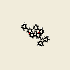 c1ccc(-c2cccc(-c3cccc(-c4ccccc4)c3-n3c4ccccc4c4cc(-n5c6ccccc6c6ccccc65)ccc43)c2)cc1